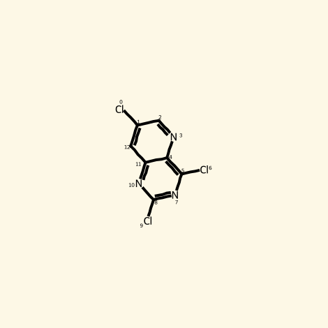 Clc1cnc2c(Cl)nc(Cl)nc2c1